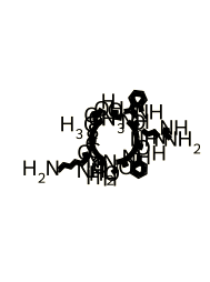 CC1(C)SSCC[C@H](NC(=O)[C@H](N)CCCCN)C(=O)N[C@@H](CO)C(=O)N[C@H](Cc2ccccc2)C(=O)N[C@@H](CCCNC(=N)N)C(=O)N[C@@H](Cc2c[nH]c3ccccc23)C(=O)N[C@@H]1C(=O)O